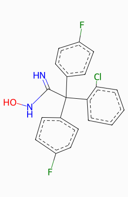 N=C(NO)C(c1ccc(F)cc1)(c1ccc(F)cc1)c1ccccc1Cl